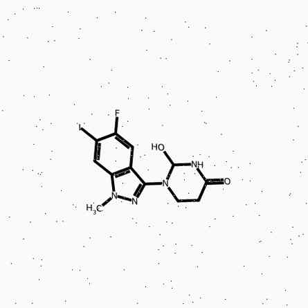 Cn1nc(N2CCC(=O)NC2O)c2cc(F)c(I)cc21